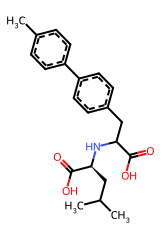 Cc1ccc(-c2ccc(CC(N[C@@H](CC(C)C)C(=O)O)C(=O)O)cc2)cc1